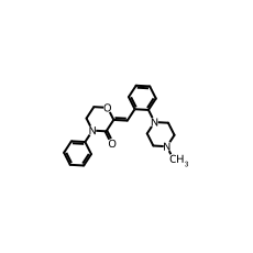 CN1CCN(c2ccccc2C=C2OCCN(c3ccccc3)C2=O)CC1